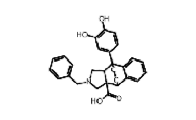 O=C(O)C12CN(Cc3ccccc3)CC1C1(c3ccc(O)c(O)c3)CCC2c2ccccc21